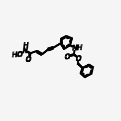 O=C(/C=C/C#Cc1cccc(NC(=O)OCc2ccccc2)c1)NO